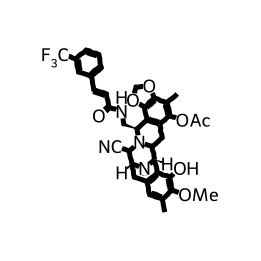 COc1c(C)cc2c(c1O)[C@@H]1C3Cc4c(OC(C)=O)c(C)c5c(c4[C@H](CNC(=O)/C=C/c4cccc(C(F)(F)F)c4)N3C(C#N)[C@H](C2)N1C)OCO5